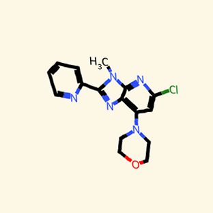 Cn1c(-c2ccccn2)nc2c(N3CCOCC3)cc(Cl)nc21